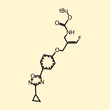 CC(C)(C)OC(=O)NC/C(=C\F)COc1ccc(-c2nc(C3CC3)no2)cc1